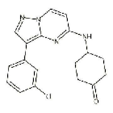 O=C1CCC(Nc2ccn3ncc(-c4cccc(Cl)c4)c3n2)CC1